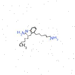 CCCCCC1Cc2c(CCCCCCN)cccc2N=C1N